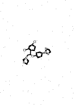 Clc1ccc(C(Cn2ccnc2)Oc2ccc(-n3nccn3)cc2)c(Cl)c1